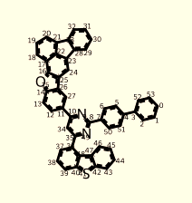 c1ccc(-c2ccc(-c3nc(-c4ccc5oc6c7cccc8c7c(cc6c5c4)-c4ccccc4-8)cc(-c4cccc5sc6ccccc6c45)n3)cc2)cc1